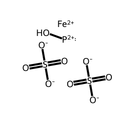 O=S(=O)([O-])[O-].O=S(=O)([O-])[O-].O[P+2].[Fe+2]